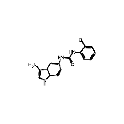 NC1=NNC2C=CC(NC(=O)Nc3ccccc3Cl)=CC12